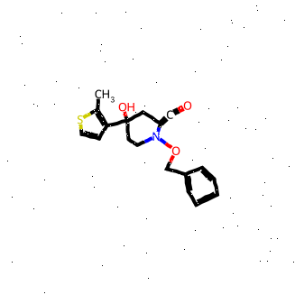 Cc1sccc1C1(O)CCN(OCc2ccccc2)C(=C=O)C1